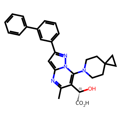 Cc1nc2cc(-c3cccc(-c4ccccc4)c3)nn2c(N2CCC3(CC2)CC3)c1[C@H](O)C(=O)O